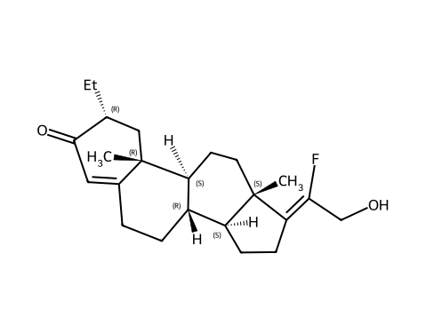 CC[C@@H]1C[C@@]2(C)C(=CC1=O)CC[C@@H]1[C@@H]2CC[C@]2(C)C(=C(F)CO)CC[C@@H]12